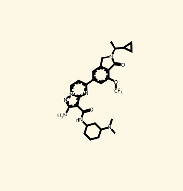 CC(C1CC1)N1Cc2cc(-c3ccn4nc(N)c(C(=O)NC5CCCC(N(C)C)C5)c4n3)cc(OC(F)(F)F)c2C1=O